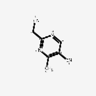 Cc1nc(CC#N)ncc1C#N